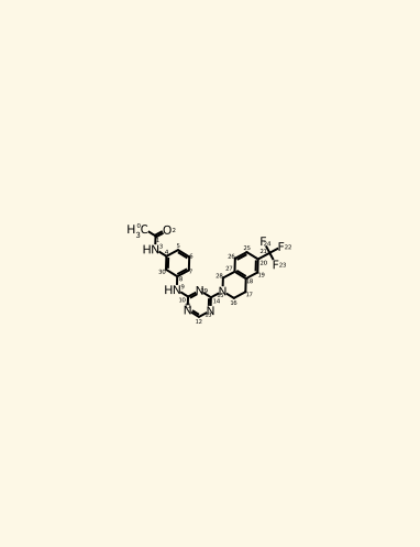 CC(=O)Nc1cccc(Nc2ncnc(N3CCc4cc(C(F)(F)F)ccc4C3)n2)c1